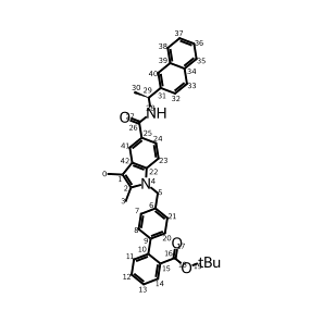 Cc1c(C)n(Cc2ccc(-c3ccccc3C(=O)OC(C)(C)C)cc2)c2ccc(C(=O)N[C@@H](C)c3ccc4ccccc4c3)cc12